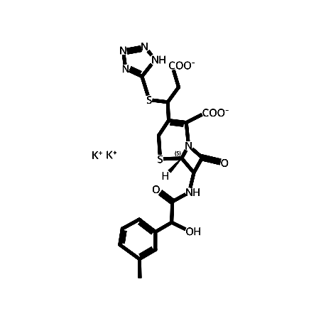 Cc1cccc(C(O)C(=O)NC2C(=O)N3C(C(=O)[O-])=C(C(CC(=O)[O-])Sc4nnn[nH]4)CS[C@@H]23)c1.[K+].[K+]